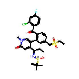 CCC(N[S@@+]([O-])C(C)(C)C)c1cc(=O)n(C)cc1-c1cc(CS(=O)(=O)CC)ccc1C(=O)c1ccc(F)cc1Cl